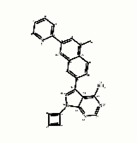 Cc1cc(-c2ccccn2)nc2cc(-c3nn(C4=CC=C4)c4ncnc(N)c34)ccc12